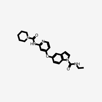 CCNC(=O)n1ccc2cc(Oc3ccnc(NC(=O)N4CCCCC4)c3)ccc21